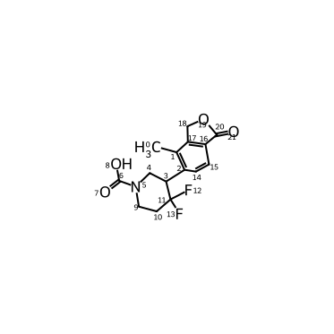 Cc1c(C2CN(C(=O)O)CCC2(F)F)ccc2c1COC2=O